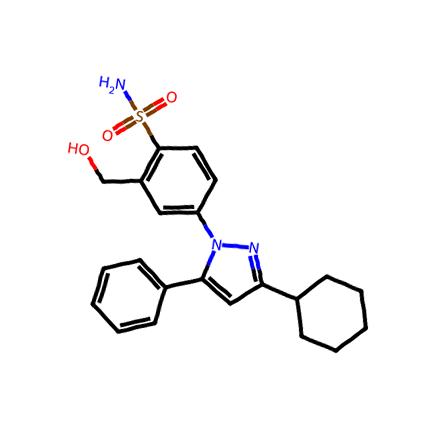 NS(=O)(=O)c1ccc(-n2nc(C3CCCCC3)cc2-c2ccccc2)cc1CO